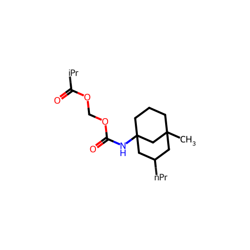 CCCC1CC2(C)CCCC(NC(=O)OCOC(=O)C(C)C)(C1)C2